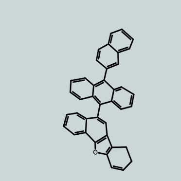 C1=Cc2oc3c(cc(-c4c5ccccc5c(-c5ccc6ccccc6c5)c5ccccc45)c4ccccc43)c2CC1